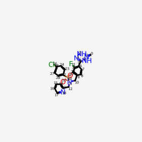 C=NN/C(=N\N)c1ccc(CN(Cc2ccccn2)S(=O)(=O)c2ccc(Cl)cc2)cc1F